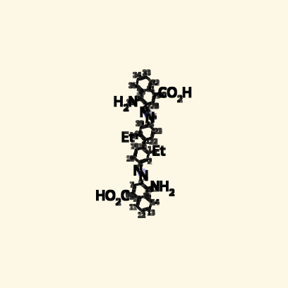 CCc1cc(/N=N/c2cc(C(=O)O)c3ccccc3c2N)ccc1-c1ccc(/N=N/c2cc(C(=O)O)c3ccccc3c2N)cc1CC